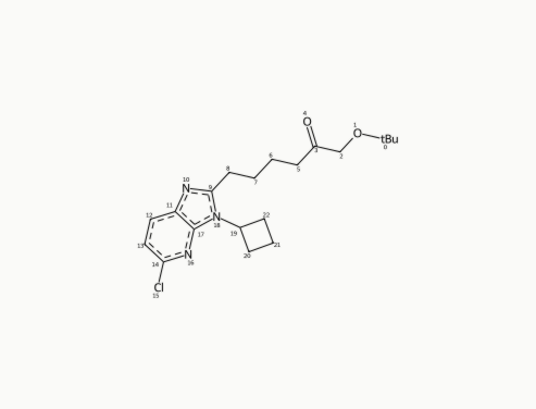 CC(C)(C)OCC(=O)CCCCc1nc2ccc(Cl)nc2n1C1CCC1